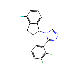 Fc1cccc2c1CCC2n1cnnc1-c1cccc(Cl)c1Cl